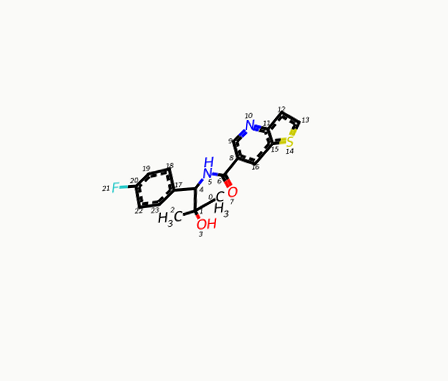 CC(C)(O)C(NC(=O)c1cnc2ccsc2c1)c1ccc(F)cc1